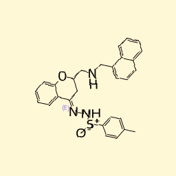 Cc1ccc([S+]([O-])N/N=C2\CC(CNCc3cccc4ccccc34)Oc3ccccc32)cc1